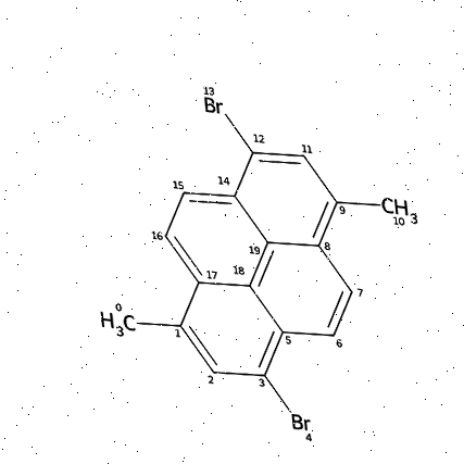 Cc1cc(Br)c2ccc3c(C)cc(Br)c4ccc1c2c34